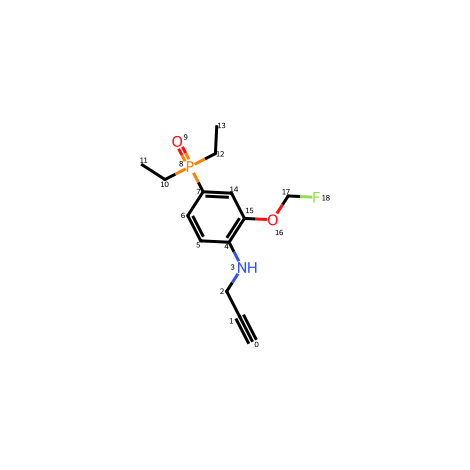 C#CCNc1ccc(P(=O)(CC)CC)cc1OCF